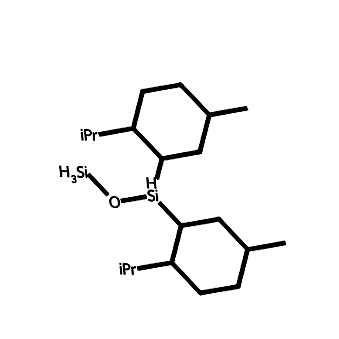 CC1CCC(C(C)C)C([SiH](O[SiH3])C2CC(C)CCC2C(C)C)C1